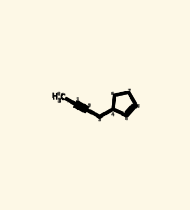 CC#CCC1C=[C]CC1